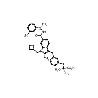 Cc1c(Cc2cccc(OC(C)(C)C(=O)O)c2)c2ccc(C(=O)N[C@@H](C)c3cccc(C(C)(C)C)c3)cc2n1CC1CCC1